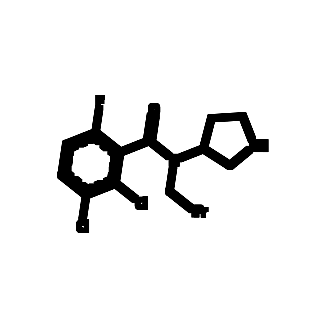 CC(C)CN(C(=O)c1c(F)ccc(Cl)c1Cl)C1CCNC1